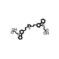 O=C(O)CCn1c2ccccc2c2cc(/C=C/c3ccc(/C=C/c4ccc5c(c4)c4ccccc4n5CCC(=O)O)s3)ccc21